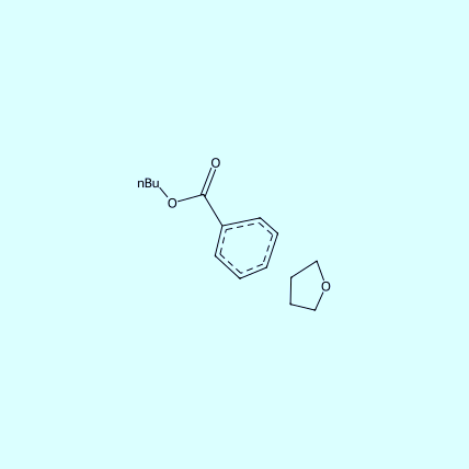 C1CCOC1.CCCCOC(=O)c1ccccc1